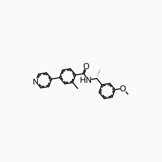 COc1cccc([C@@H](C)NC(=O)c2ccc(-c3ccncc3)cc2C)c1